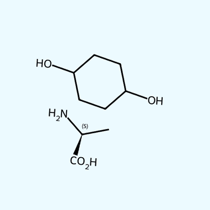 C[C@H](N)C(=O)O.OC1CCC(O)CC1